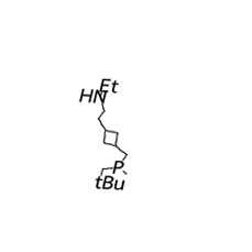 CCNCCC1CC(CP(C)CC(C)(C)C)C1